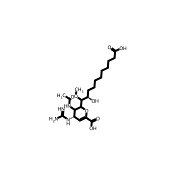 COC(C1OC(C(=O)O)=C[C@H](NC(=N)N)C1NC(C)=O)[C@H](O)CCCCCCCCC(=O)O